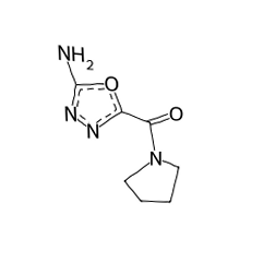 Nc1nnc(C(=O)N2CCCC2)o1